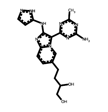 Cc1nc(N)nc(-c2c(Nc3ccn[nH]3)nc3ccc(CCC(O)CO)cn23)n1